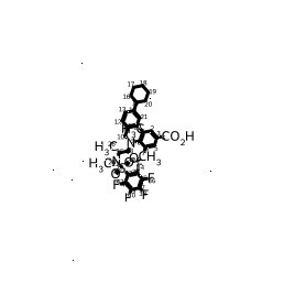 Cc1cc(C(=O)O)cc(C)c1N(Cc1ccc(C2CCCCC2)cc1)C(=O)[C@@H](C)N(C)S(=O)(=O)c1c(F)c(F)c(F)c(F)c1F